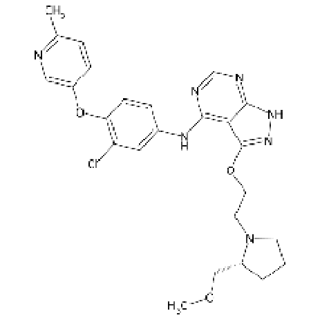 COC[C@H]1CCCN1CCOc1n[nH]c2ncnc(Nc3ccc(Oc4ccc(C)nc4)c(Cl)c3)c12